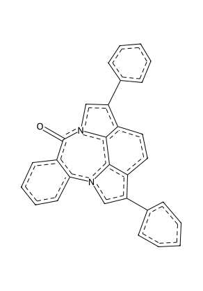 O=c1c2ccccc2n2cc(-c3ccccc3)c3ccc4c(-c5ccccc5)cn1c4c32